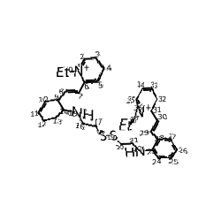 CC[N+]1=CCCC=C1/C=C/C1C=CCCC1NCCSSCCNc1ccccc1/C=C/C1CC=CC=[N+]1CC